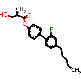 C=C(CO)C(=O)Oc1ccc(-c2ccc(CCCCC)cc2F)cc1